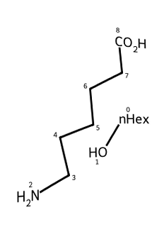 CCCCCCO.NCCCCCC(=O)O